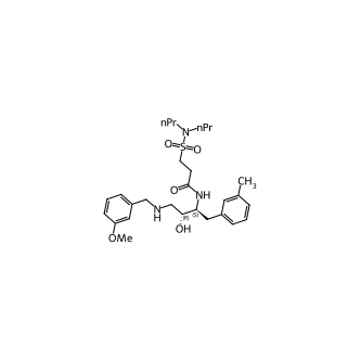 CCCN(CCC)S(=O)(=O)CCC(=O)N[C@@H](Cc1cccc(C)c1)[C@H](O)CNCc1cccc(OC)c1